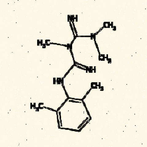 Cc1cccc(C)c1NC(=N)N(C)C(=N)N(C)C